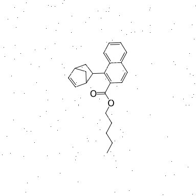 CCCCCOC(=O)c1ccc2ccccc2c1C1CC2C=CC1C2